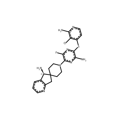 Nc1nc(N2CCC3(CC2)Cc2ncccc2[C@H]3N)c(F)nc1Sc1ccnc(N)c1Cl